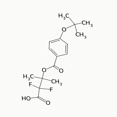 CC(C)(C)Oc1ccc(C(=O)OC(C)(C)C(F)(F)C(=O)O)cc1